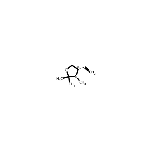 C=C[C@H]1COC(C)(C)N1C